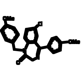 COc1ccc(CN2C(=O)CN=C(c3ccc(OC)cc3)c3cc(Cl)ccc32)cc1